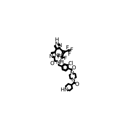 O=C(NCc1ccc(C(=O)N2CCN(C(=O)C3CCNCC3)CC2)c(Cl)c1)c1ncc(-c2c[nH]nc2C2C(C(F)(F)F)C2C(F)(F)F)[nH]1